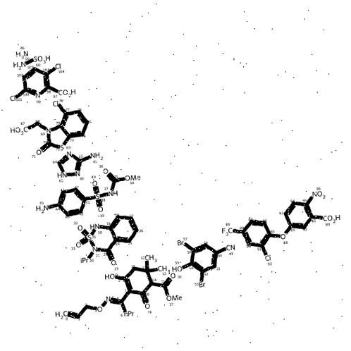 C=CCO/N=C(\CCC)C1=C(O)CC(C)(C)C(C(=O)OC)C1=O.CC(C)N1C(=O)c2ccccc2NS1(=O)=O.COC(=O)NS(=O)(=O)c1ccc(N)cc1.N.N#Cc1cc(Br)c(O)c(Br)c1.NS(=O)(=O)O.Nc1nc[nH]n1.O=C(O)Cn1c(=O)sc2cccc(Cl)c21.O=C(O)c1cc(Oc2ccc(C(F)(F)F)cc2Cl)ccc1[N+](=O)[O-].O=C(O)c1nc(Cl)ccc1Cl